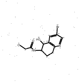 O=C(CCl)NC1CCc2ncc(Br)cc2C1O